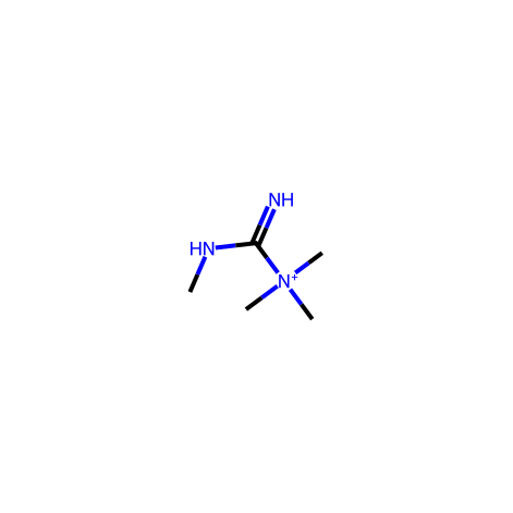 CNC(=N)[N+](C)(C)C